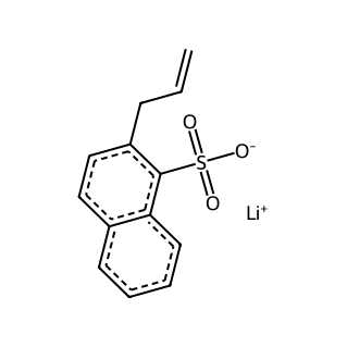 C=CCc1ccc2ccccc2c1S(=O)(=O)[O-].[Li+]